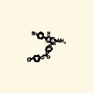 Nc1nc(N2CCN(C(=O)COc3ccc(Cl)cc3)CC2)c2nc(-c3ccc(Br)cc3)[nH]c2n1